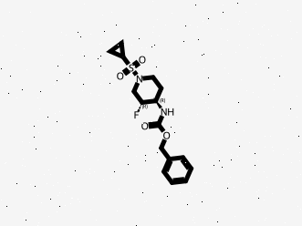 O=C(N[C@@H]1CCN(S(=O)(=O)C2CC2)C[C@H]1F)OCc1ccccc1